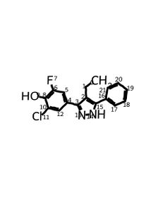 CCc1c(-c2cc(F)c(O)c(Cl)c2)n[nH]c1-c1ccccc1